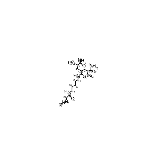 CC(C)(C)C(CC(CC(C(N)=O)C(C)(C)C)C(=O)NCCCCCNC(=O)CN=[N+]=[N-])C(N)=O